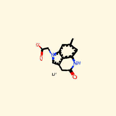 Cc1cc2c3c(cn(CC(=O)[O-])c3c1)CC(=O)N2.[Li+]